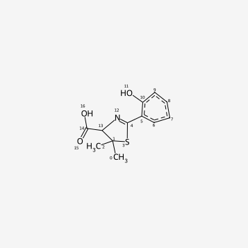 CC1(C)SC(c2ccccc2O)=NC1C(=O)O